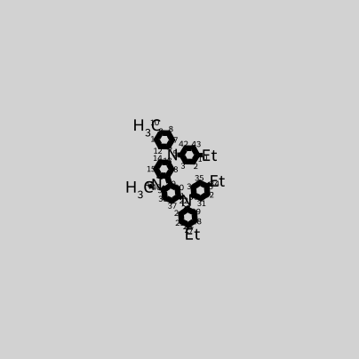 CCc1ccc(N(c2ccc(C)cc2)c2ccc3c(c2)c2cc(N(c4ccc(CC)cc4)c4ccc(CC)cc4)ccc2n3C)cc1